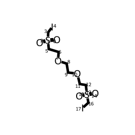 O=S(=O)(CI)CCOCCOCCS(=O)(=O)CI